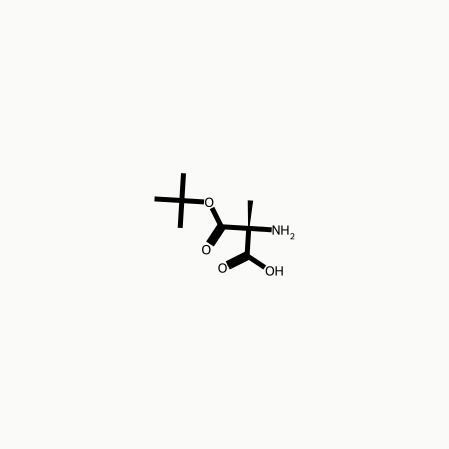 CC(C)(C)OC(=O)[C@](C)(N)C(=O)O